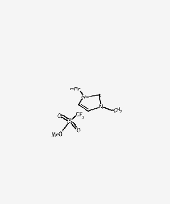 CCCN1C=CN(C)C1.COS(=O)(=O)C(F)(F)F